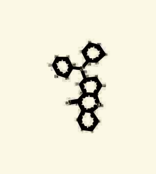 S=c1c2ccccc2oc2ccc([S+](c3ccccc3)c3ccccc3)cc12